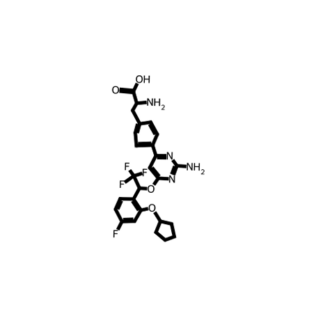 Nc1nc(OC(c2ccc(F)cc2OC2CCCC2)C(F)(F)F)cc(-c2ccc(CC(N)C(=O)O)cc2)n1